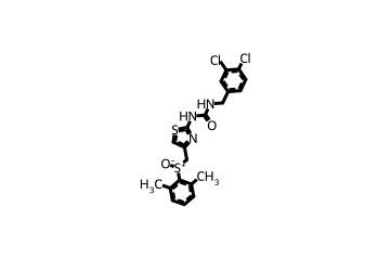 Cc1cccc(C)c1[S+]([O-])Cc1csc(NC(=O)NCc2ccc(Cl)c(Cl)c2)n1